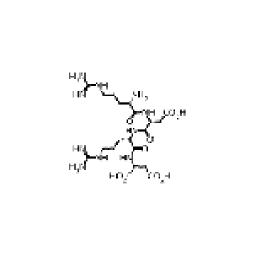 N=C(N)NCCC[C@H](NC(=O)[C@H](CC(=O)O)NC(=O)[C@@H](N)CCCNC(=N)N)C(=O)N[C@@H](CC(=O)O)C(=O)O